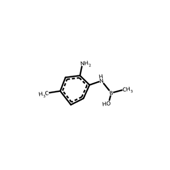 CB(O)Nc1ccc(C)cc1N